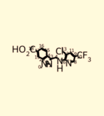 Cn1nc(CNc2ncc(C(F)(F)F)cc2Cl)c2ccc(C(=O)O)cc21